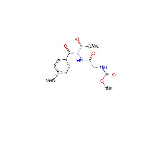 COC(=O)C(NC(=O)CNC(=O)OC(C)(C)C)C(=O)c1ccc(SC)cc1